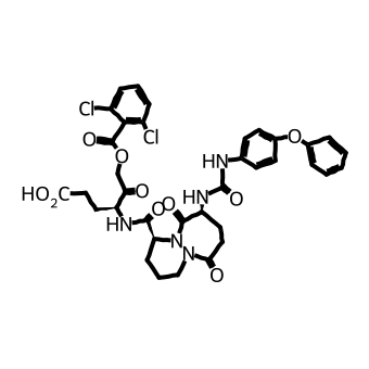 O=C(O)CC[C@H](NC(=O)[C@@H]1CCCN2C(=O)CC[C@H](NC(=O)Nc3ccc(Oc4ccccc4)cc3)C(=O)N12)C(=O)COC(=O)c1c(Cl)cccc1Cl